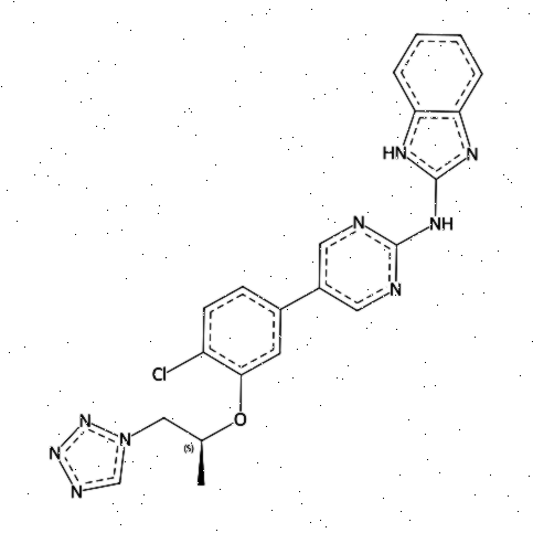 C[C@@H](Cn1cnnn1)Oc1cc(-c2cnc(Nc3nc4ccccc4[nH]3)nc2)ccc1Cl